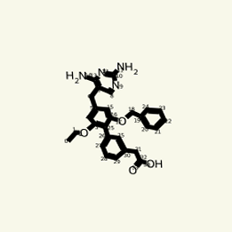 CCOc1cc(Cc2cnc(N)nc2N)cc(OCc2ccccc2)c1-c1cccc(CC(=O)O)c1